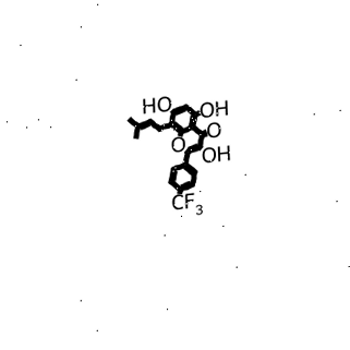 CC(C)=CCc1c(O)cc(O)c2c(=O)c(O)c(-c3ccc(C(F)(F)F)cc3)oc12